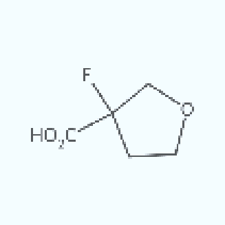 O=C(O)C1(F)CCOC1